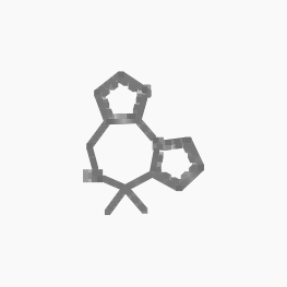 CC1(C)NCc2ccsc2-n2cccc21